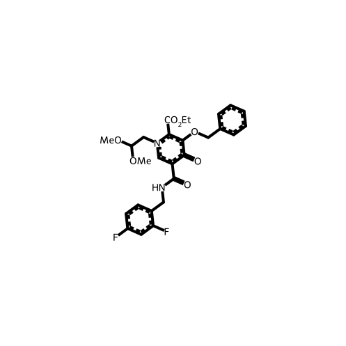 CCOC(=O)c1c(OCc2ccccc2)c(=O)c(C(=O)NCc2ccc(F)cc2F)cn1CC(OC)OC